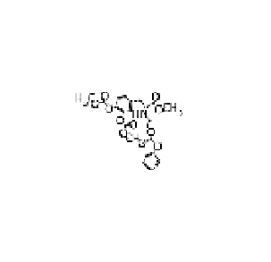 COC(=O)Oc1ccc(C[C@H](NCCOC(=O)Oc2ccccc2)C(=O)OC)cc1OC(=O)OC